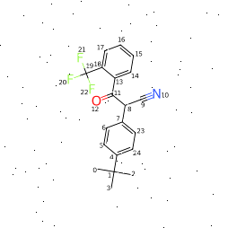 CC(C)(C)c1ccc(C(C#N)C(=O)c2ccccc2C(F)(F)F)cc1